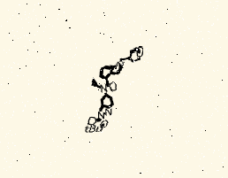 CC(C)(C)OC(=O)n1cc2c(n1)CCC(N(C(=O)c1cccc3c1ccn3CC1CCOCC1)C1CC1)C2